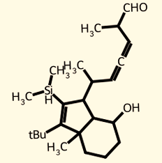 CC(C=O)C=C=CC(C)C1C([SiH](C)C)=C(C(C)(C)C)C2(C)CCCC(O)C12